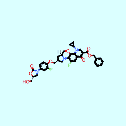 O=C(OCc1ccccc1)c1cn(C2CC2)c2c3c(c(F)cc2c1=O)N1C[C@@H](COc2ccc(N4C[C@H](CO)OC4=O)cc2F)C[C@H]1CO3